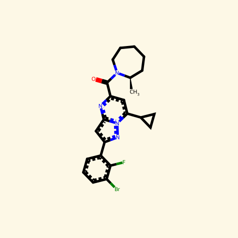 C[C@@H]1CCCCCN1C(=O)c1cc(C2CC2)n2nc(-c3cccc(Br)c3F)cc2n1